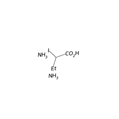 CCC(I)C(=O)O.N.N